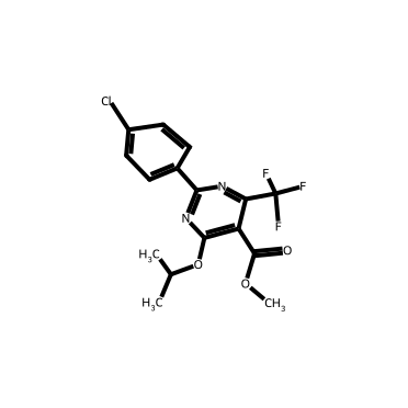 COC(=O)c1c(OC(C)C)nc(-c2ccc(Cl)cc2)nc1C(F)(F)F